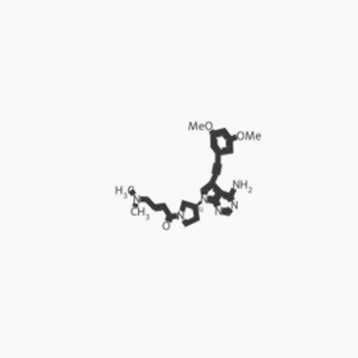 COc1cc(C#Cc2cn([C@H]3CCN(C(=O)C=CCN(C)C)C3)c3ncnc(N)c23)cc(OC)c1